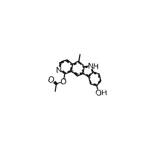 CC(=O)Oc1nccc2c(C)c3[nH]c4ccc(O)cc4c3cc12